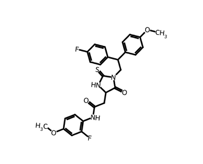 COc1ccc(C(CN2C(=O)C(CC(=O)Nc3ccc(OC)cc3F)NC2=S)c2ccc(F)cc2)cc1